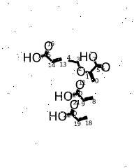 C=C(OCC)C(=O)O.C=CC(=O)O.C=CC(=O)O.C=CC(=O)O